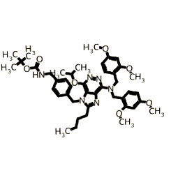 CCCCc1nc2c(N(Cc3ccc(OC)cc3OC)Cc3ccc(OC)cc3OC)nnc(OC(C)C)c2n1Cc1ccc(CNC(=O)OC(C)(C)C)cc1